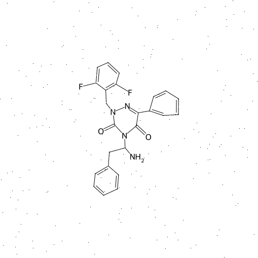 NC(Cc1ccccc1)n1c(=O)c(-c2ccccc2)nn(Cc2c(F)cccc2F)c1=O